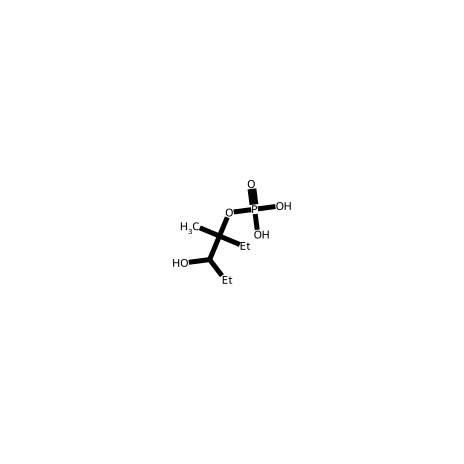 CCC(O)C(C)(CC)OP(=O)(O)O